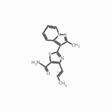 C/C=C/c1nc(-c2c(C)nn3ccccc23)sc1C(N)=O